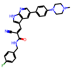 CN1CCN(c2ccc(-c3cnc4[nH]cc(/C=C(\C#N)C(=O)NCc5ccc(F)cc5)c4c3)cc2)CC1